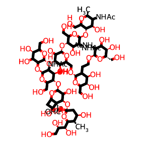 CC(=O)NC1C(O)[C@H](O)[C@H](CO)O[C@H]1OCCC1[C@@H](OCC2O[C@@H](O[C@@H]3C(CO)O[C@@H](O[C@@H]4C(CO)O[C@@H](C)C(NC(C)=O)[C@H]4O)C(NC(C)=O)[C@H]3O)C(O)[C@@H](O[C@H]3OC(CO)[C@@H](O)C(O)C3O[C@@H]3OC(CO)[C@@H](O[C@@H]4OC5CC(O)(O)[C@@H]5[C@H](O[C@]5(OC=O)C[C@@H](O)[C@@H](C)C([C@H](O)[C@H](O)CO)O5)C4O)[C@H](O)C3NC(C)=O)[C@@H]2O)OC(CO)[C@@H](O)[C@@H]1O